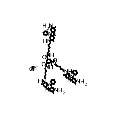 Cc1cc2nc3cc(C)c(NCCCCCCNC(=O)c4cc(C(=O)NCCCCCCNc5cc6c(cc5C)nc5cc(C)c(N)cc5[n+]6-c5ccccc5)cc(C(=O)NCCCCCCNc5cc6c(cc5C)nc5cc(C)c(N)cc5[n+]6-c5ccccc5)c4)cc3[n+](-c3ccccc3)c2cc1N.[Cl-].[Cl-].[Cl-]